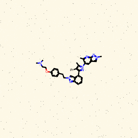 Cc1nc2nn(C)cc2cc1-n1nc(-c2cccc3nn(CCc4ccc(OCCN(C)C)cc4)cc23)c(C(C)C)c1C